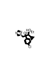 CC(C1CC1)C(O)(Cn1cncn1)c1ccc(Cl)cc1.CCO